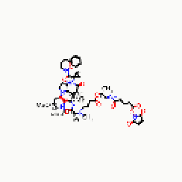 CC[C@H](C)[C@@H]([C@@H](CC(=O)N1CCC[C@H]1[C@H](OC)[C@@H](C)C(=O)N[C@@]1(C(=O)N2CCCCO2)C[C@@H]1c1ccccc1)OC)N(C)C(=O)[C@@H](NC(=O)[C@H](C(C)C)N(C)CCCC(=O)O[C@H](C)CNC(=O)CCCC(=O)ON1C(=O)C=CC1=O)C(C)C